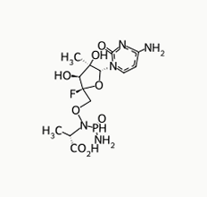 C[C@@H](C(=O)O)N(OC[C@@]1(F)O[C@@H](n2ccc(N)nc2=O)[C@](C)(O)[C@@H]1O)[PH](N)=O